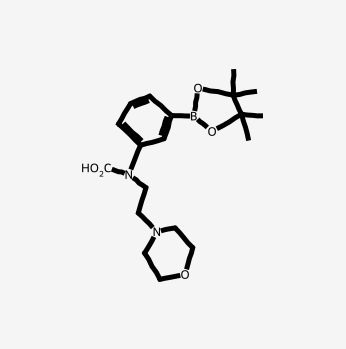 CC1(C)OB(c2cccc(N(CCN3CCOCC3)C(=O)O)c2)OC1(C)C